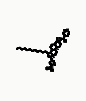 CCCCCCCCCCCCC1=C2C3=C(C=C[C@]2(C)C(n2cnc([N+](=O)[O-])c2)=C1)[C@]1(C)CC=C(NC(=O)c2ccnnc2)C=C1C=C3